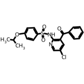 CC(C)Oc1ccc(S(=O)(=O)Nc2ncc(Cl)cc2C(=O)c2ccccc2)cc1